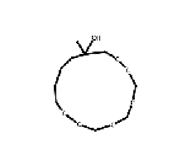 CC1(O)CCCCCCCCCCCCCC1